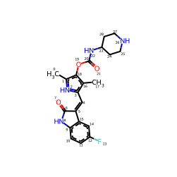 Cc1[nH]c(/C=C2\C(=O)Nc3ccc(F)cc32)c(C)c1OC(=O)NC1CCNCC1